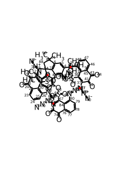 CC(C)(C)c1cc2c(c(OS(=O)(=O)C3=C(N=[N+]=[N-])C(=O)C(=O)c4cccc(N=[N+]=[N-])c43)c1OS(=O)(=O)C1=C(N=[N+]=[N-])C(=O)C(=O)c3cccc(N=[N+]=[N-])c31)C1(CC(C)(C)c3ccc(OS(=O)(=O)C4=C(N=[N+]=[N-])C(=O)C(=O)c5cccc(N=[N+]=[N-])c54)c(O)c31)CC2(C)C